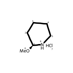 CO[C@H]1CCCCN1.Cl